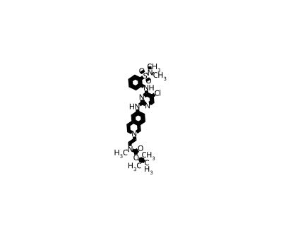 CN(CCN1CCc2cc(Nc3ncc(Cl)c(Nc4ccccc4S(=O)(=O)N(C)C)n3)ccc2C1)C(=O)OC(C)(C)C